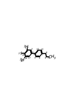 [2H]c1cc(-c2ccc(CCC)cc2)cc([2H])c1I